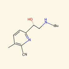 Cc1ccc([C@H](O)CNC(C)(C)C)nc1C#N